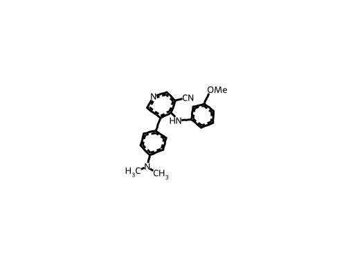 COc1cccc(Nc2c(C#N)cncc2-c2ccc(N(C)C)cc2)c1